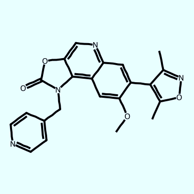 COc1cc2c(cc1-c1c(C)noc1C)ncc1oc(=O)n(Cc3ccncc3)c12